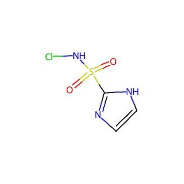 O=S(=O)(NCl)c1ncc[nH]1